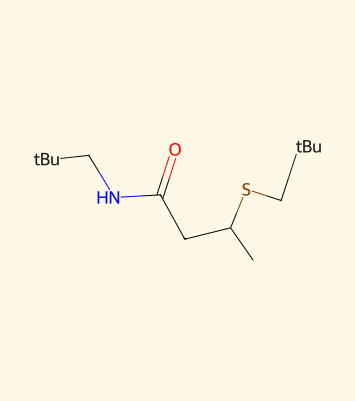 CC(CC(=O)NCC(C)(C)C)SCC(C)(C)C